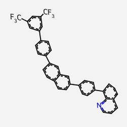 FC(F)(F)c1cc(-c2ccc(-c3ccc4ccc(-c5ccc(-c6cccc7cccnc67)cc5)cc4c3)cc2)cc(C(F)(F)F)c1